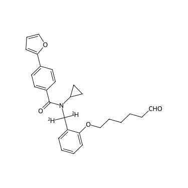 [2H]C([2H])(c1ccccc1OCCCCCC=O)N(C(=O)c1ccc(-c2ccco2)cc1)C1CC1